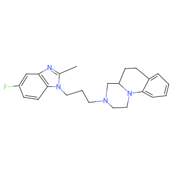 Cc1nc2cc(F)ccc2n1CCCN1CCN2c3ccccc3CCC2C1